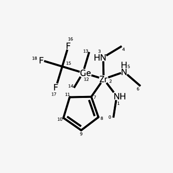 C[NH][Zr]([NH]C)([NH]C)([C]1=CC=CC1)[Ge]([CH3])([CH3])[C](F)(F)F